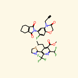 C#CCN1C(=O)COc2cc(F)c(N3C(=O)C4=C(CCCC4)C3=O)cc21.COC(=O)c1c(C(F)F)nc(C(F)(F)F)c(C2=NCCS2)c1CC(C)C